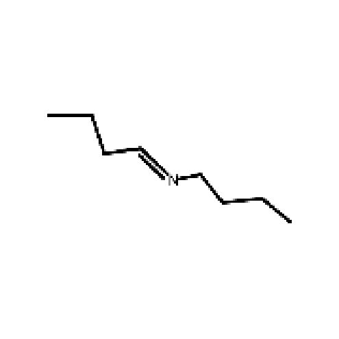 CCCC=NCCCC